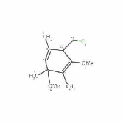 COC1=C(C)C(C)(OC)C=C(C)C1CCl